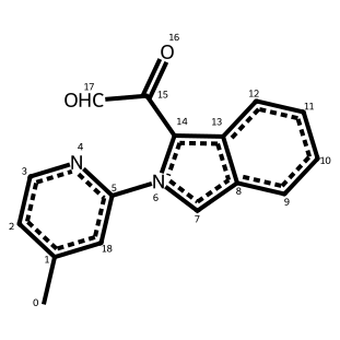 Cc1ccnc(-n2cc3ccccc3c2C(=O)C=O)c1